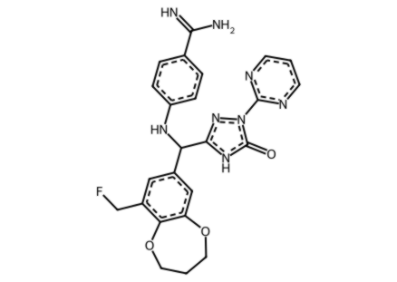 N=C(N)c1ccc(NC(c2cc(CF)c3c(c2)OCCCO3)c2nn(-c3ncccn3)c(=O)[nH]2)cc1